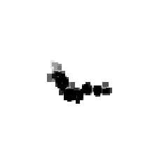 Cc1nc2ccc(Oc3ccc4ncc(-c5cnn([C@H]6C[C@H](C(F)(F)F)C6)c5)nc4c3Cl)cc2[nH]1